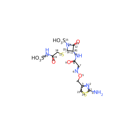 Nc1nc(CON=CC(=O)N[C@@H]2C(=O)N(S(=O)(=O)O)[C@H]2SCC(=O)NS(=O)(=O)O)cs1